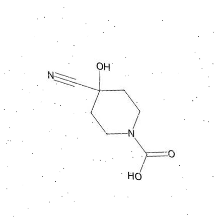 N#CC1(O)CCN(C(=O)O)CC1